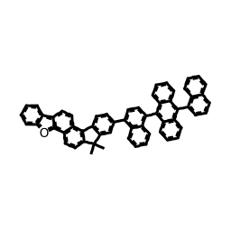 CC1(C)c2cc(-c3ccc(-c4c5ccccc5c(-c5cccc6ccccc56)c5ccccc45)c4ccccc34)ccc2-c2c1ccc1c2ccc2c3ccccc3oc12